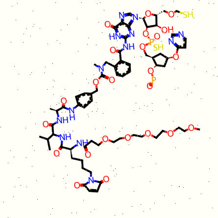 COCCOCCOCCOCCOCCC(=O)N[C@@H](CCCCN1C(=O)C=CC1=O)C(=O)NC(C(=O)N[C@@H](C)C(=O)Nc1ccc(COC(=O)N(C)Cc2ccccc2C(=O)Nc2nc3c(ncn3[C@@H]3O[C@H](COCS)[C@@H](O)[C@H]3O[P@](=O)(S)OC[C@H]3C[C@@H](Oc4ccncn4)C[C@@H]3OP=O)c(=O)[nH]2)cc1)C(C)C